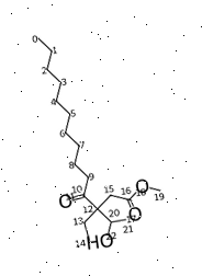 CCCCCCCCCCC(=O)C(CC)(CC(=O)OC)C(C)O